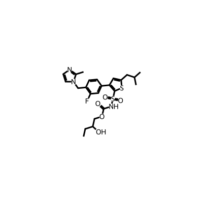 CCC(O)COC(=O)NS(=O)(=O)c1sc(CC(C)C)cc1-c1ccc(Cn2ccnc2C)c(F)c1